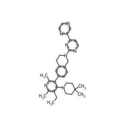 CCc1c(C)nc(C)c(-c2ccc3c(c2)CCN(c2nccc(-c4cnccn4)n2)C3)c1N1CCC(C)(C)CC1